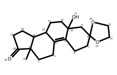 CC12CCC3=C4CCC5(CC4(O)CCC3C1CCC2=O)OCCO5